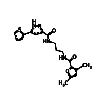 Cc1cc(C)c(C(=O)NCCCNC(=O)c2cc(-c3cccs3)[nH]n2)o1